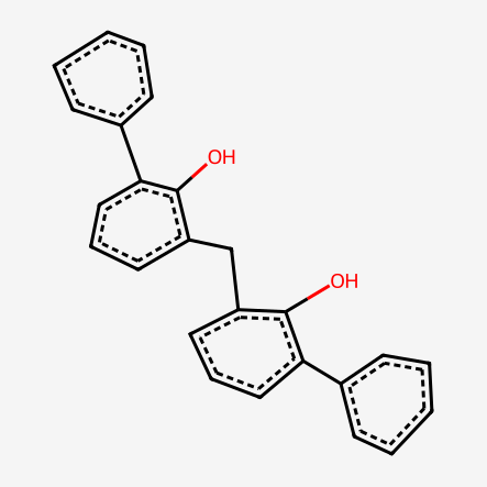 Oc1c(Cc2cccc(-c3ccccc3)c2O)cccc1-c1ccccc1